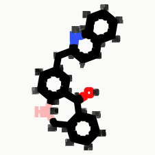 O=C1c2cc(Cc3ccc4ccccc4n3)ccc2BCc2ccccc21